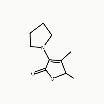 CC1=C(N2CCCC2)C(=O)OC1C